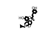 CO[C@]12CC[C@H](N(C)C(=O)C=Cc3cccc(O)c3)C[C@]1(c1cccc(O)c1)CCN(CC1CC1)C2